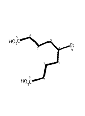 CCC(CCCC(=O)O)CCCC(=O)O